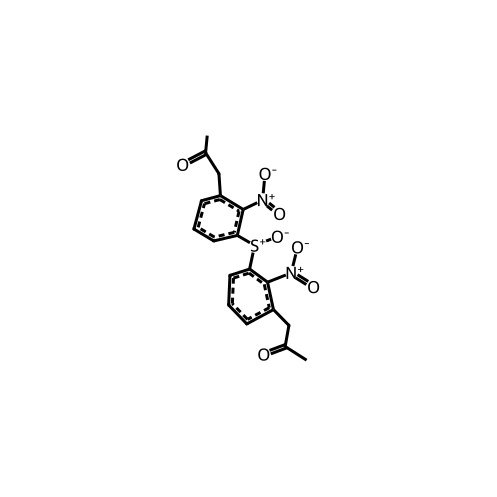 CC(=O)Cc1cccc([S+]([O-])c2cccc(CC(C)=O)c2[N+](=O)[O-])c1[N+](=O)[O-]